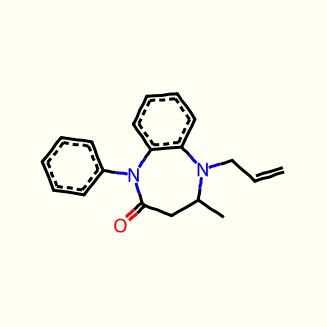 C=CCN1c2ccccc2N(c2ccccc2)C(=O)CC1C